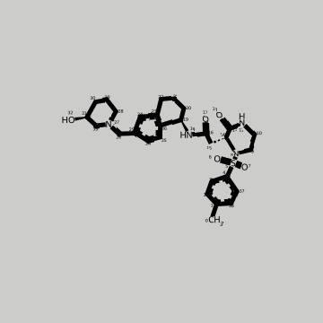 Cc1ccc(S(=O)(=O)N2CCNC(=O)[C@H]2CC(=O)N[C@@H]2CCCc3cc(CN4CCC[C@H](O)C4)ccc32)cc1